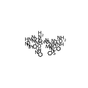 COc1c(Nc2nc(Nc3cnn(C(C)CCOc4c(Nc5nc(Nc6cnn(C(C)C)c6)ncc5C(N)=O)cccc4-c4nc5ccccc5n4C)c3)ncc2C(N)=O)cccc1-c1nc2ccccc2s1